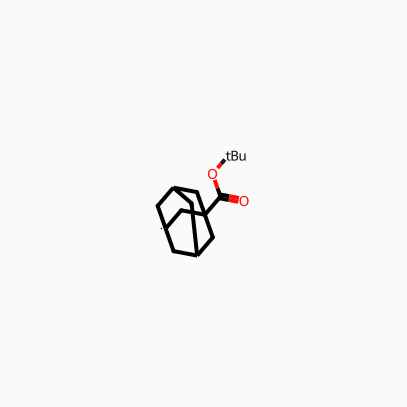 CC(C)(C)OC(=O)C12C[C]3CC(CC(C3)C1)C2